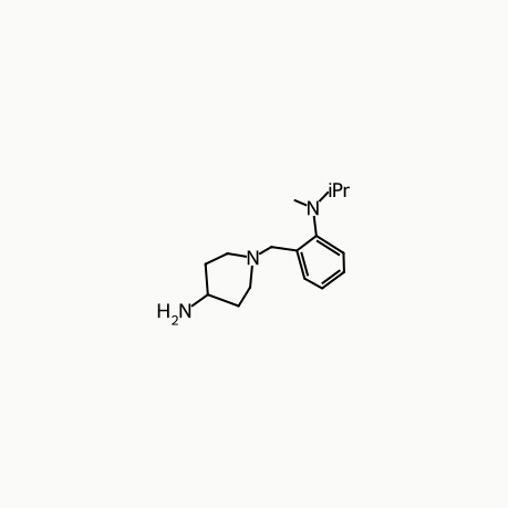 CC(C)N(C)c1ccccc1CN1CCC(N)CC1